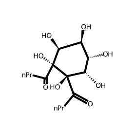 CCCC(=O)[C@@]1(O)[C@@H](O)[C@@H](O)[C@H](O)[C@H](O)[C@]1(O)C(=O)CCC